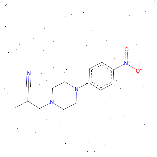 CC(C#N)CN1CCN(c2ccc([N+](=O)[O-])cc2)CC1